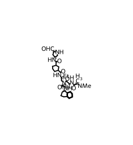 CC[C@@H](CN(C(=O)N[C@@H]1CCCc2ccccc21)C(=O)C(NC(=O)[C@H](C)NC)C(C)(C)C)NC(=O)C1CCCC(C(=O)N[C@@H]2CN[C@H](C=O)C2)C1